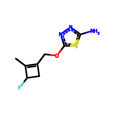 CC1=C(COc2nnc(N)s2)CC1F